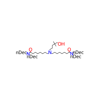 CCCCCCCCCCN(CCCCCCCCCC)C(=O)CCCCCCCN(CCCCCCCC(=O)N(CCCCCCCCCC)CCCCCCCCCC)CCCC(C)(C)CO